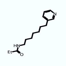 CCC(=O)NCCCCCCCc1cccnc1